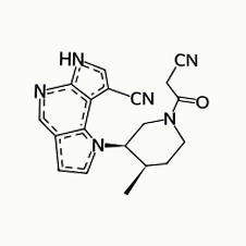 C[C@@H]1CCN(C(=O)CC#N)C[C@@H]1n1ccc2cnc3[nH]cc(C#N)c3c21